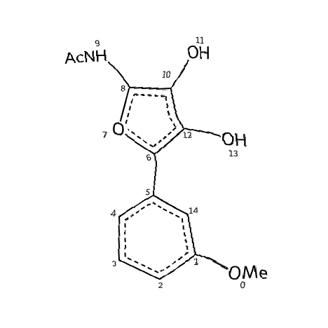 COc1cccc(-c2oc(NC(C)=O)c(O)c2O)c1